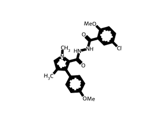 COc1ccc(-c2c(C)cn(C)c2C(=O)NNC(=O)c2cc(Cl)ccc2OC)cc1